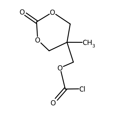 CC1(COC(=O)Cl)COC(=O)OC1